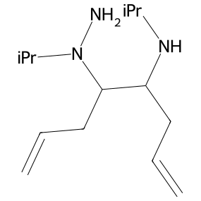 C=CCC(NC(C)C)C(CC=C)N(N)C(C)C